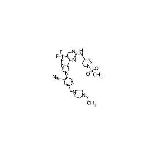 CCN1CCN(Cc2ccc(-n3cnc(-c4nc(NC5CCN(S(C)(=O)=O)CC5)ncc4C(F)(F)F)c3)c(C#N)c2)CC1